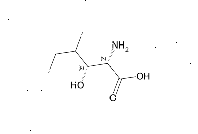 CCC(C)[C@@H](O)[C@H](N)C(=O)O